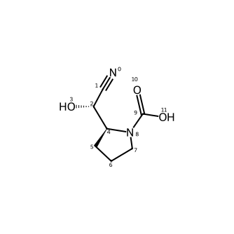 N#C[C@@H](O)[C@@H]1CCCN1C(=O)O